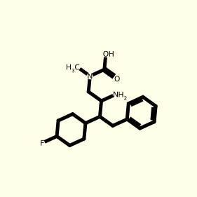 CN(CC(N)C(Cc1ccccc1)C1CCC(F)CC1)C(=O)O